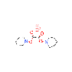 O.O=C(ON1CCCCC1)C(=O)ON1CCCCC1